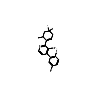 CC1CC(F)(F)CC=C1c1nccc(-c2cc(F)ccc2F)c1N